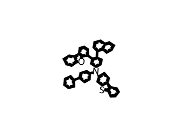 c1ccc(-c2ccc(N(c3ccc(-c4cccc5ccccc45)c(-c4cccc5c4oc4ccccc45)c3)c3ccc4c(c3)sc3ccccc34)cc2)cc1